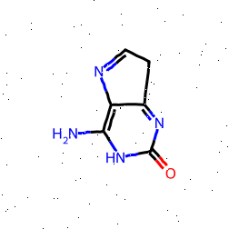 Nc1[nH]c(=O)nc2c1N=CC2